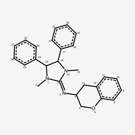 CN1C(=NC2COc3ccccc3C2)N(C)C(c2ccccc2)C1c1ccccc1